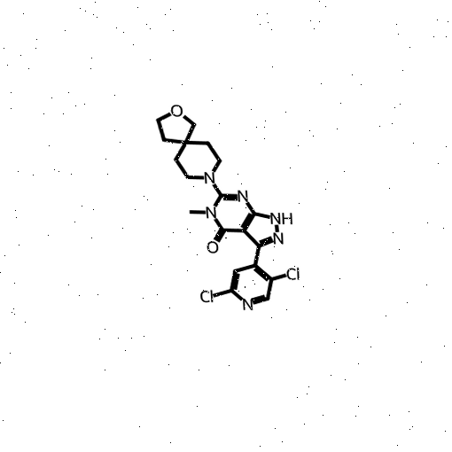 Cn1c(N2CCC3(CCOC3)CC2)nc2[nH]nc(-c3cc(Cl)ncc3Cl)c2c1=O